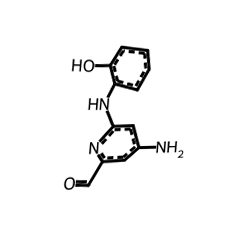 Nc1cc(C=O)nc(Nc2ccccc2O)c1